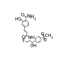 CS(=O)(=O)c1ccc([C@@H](O)[C@@H](CF)NC(=O)C=Cc2ccc(C(N)=O)c(O)c2)cc1